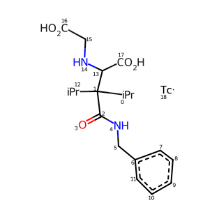 CC(C)C(C(=O)NCc1ccccc1)(C(C)C)C(NCC(=O)O)C(=O)O.[Tc]